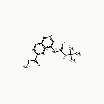 COC(=O)c1ccc2cncc(NC(=O)OC(C)(C)C)c2c1